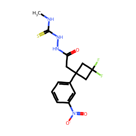 CNC(=S)NNC(=O)CC1(c2cccc([N+](=O)[O-])c2)CC(F)(F)C1